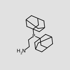 NCCP(C12CC3CC(CC(C3)C1)C2)C12CC3CC(CC(C3)C1)C2